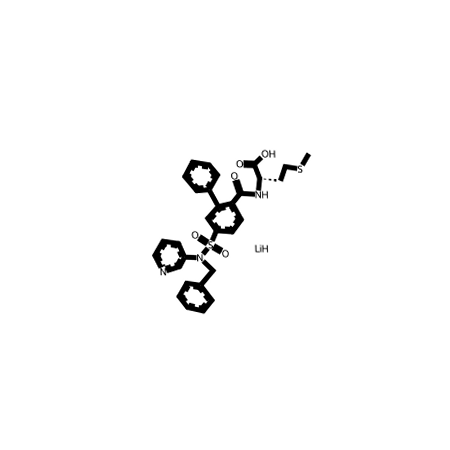 CSCC[C@H](NC(=O)c1ccc(S(=O)(=O)N(Cc2ccccc2)c2cccnc2)cc1-c1ccccc1)C(=O)O.[LiH]